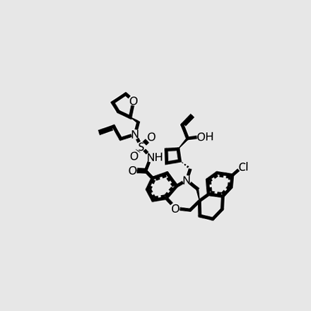 C=CCN(C[C@H]1CCCO1)S(=O)(=O)NC(=O)c1ccc2c(c1)N(C[C@@H]1CC[C@H]1C(O)C=C)C[C@@]1(CCCc3cc(Cl)ccc31)CO2